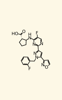 O=C(O)[C@H]1CCCC1Nc1nc(-c2cc(-c3ccon3)n(Cc3ccccc3F)n2)ncc1F